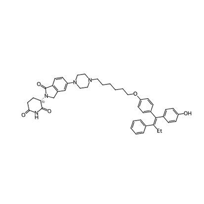 CCC(=C(c1ccc(O)cc1)c1ccc(OCCCCCCN2CCN(c3ccc4c(c3)CN([C@H]3CCC(=O)NC3=O)C4=O)CC2)cc1)c1ccccc1